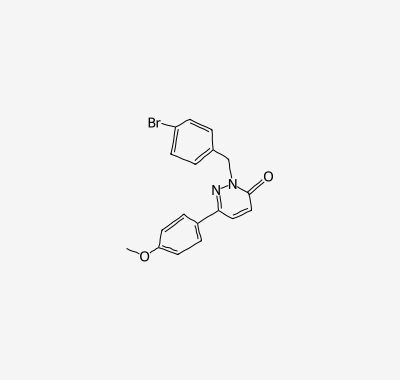 COc1ccc(-c2ccc(=O)n(Cc3ccc(Br)cc3)n2)cc1